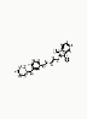 O=C1c2ccccc2C(=O)N1CC=CCOc1cccc(CN2CCCCC2)c1